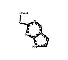 CCCCCSc1ncc2cc[nH]c2n1